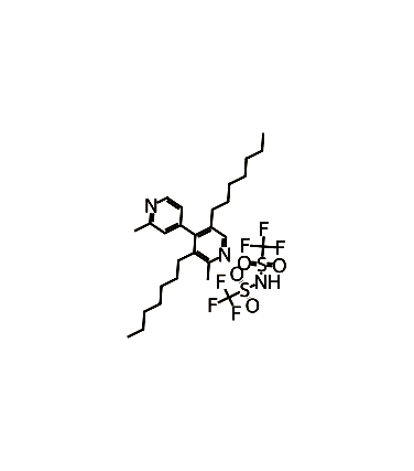 CCCCCCCc1cnc(C)c(CCCCCCC)c1-c1ccnc(C)c1.O=S(=O)(NS(=O)(=O)C(F)(F)F)C(F)(F)F